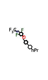 CCCC1CCC(c2ccc(COc3cc(F)c(/C=C/C(F)(F)F)c(F)c3)cc2)CC1